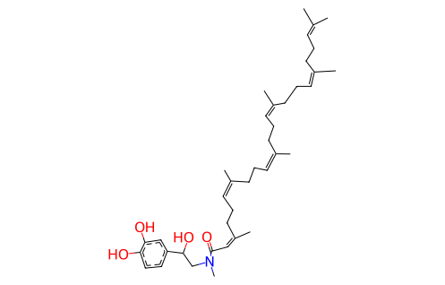 CC(C)=CCCC(C)=CCCC(C)=CCCC(C)=CCCC(C)=CCCC(C)=CC(=O)N(C)CC(O)c1ccc(O)c(O)c1